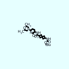 Cc1nc(N2CC(C)OC(C)C2)ccc1NC(=O)C1CC2(CC(NC(=O)OC(C)(C)C)C2)C1